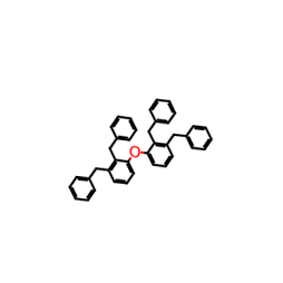 c1ccc(Cc2cccc(Oc3cccc(Cc4ccccc4)c3Cc3ccccc3)c2Cc2ccccc2)cc1